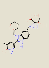 Cc1cc(C2Nc3ccc(CN[C@H](C(=O)O)C(C)O)cc3N2CC2CCCCO2)cn(C)c1=O